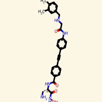 Cc1ccc(CNCC(=O)Nc2ccc(C#Cc3ccc(C(=O)N[C@@H](CN)C(=O)NO)cc3)cc2)cc1C